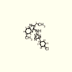 CCc1nc2ccc(C)cn2c1Nc1nc(-c2ccc(Cl)cc2)ns1